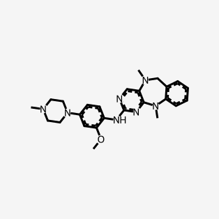 COc1cc(N2CCN(C)CC2)ccc1Nc1ncc2c(n1)N(C)c1ccccc1CN2C